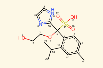 Cc1ccc(C(OCCO)(c2ncc[nH]2)S(=O)(=O)O)c(C(C)C)c1